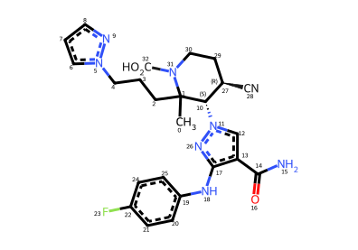 CC1(CCCn2cccn2)[C@@H](n2cc(C(N)=O)c(Nc3ccc(F)cc3)n2)[C@H](C#N)CCN1C(=O)O